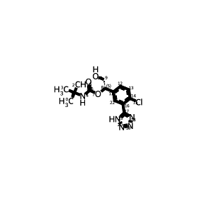 CC(C)(C)NC(=O)O[C@H](CO)c1ccc(Cl)c(-c2nnn[nH]2)c1